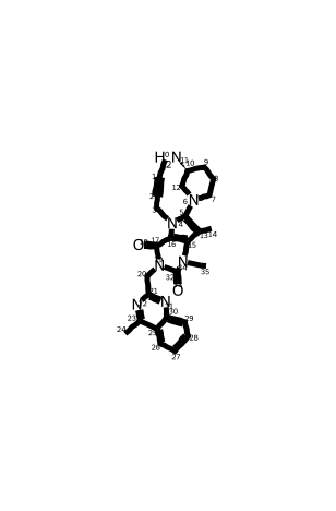 CC#CCn1c(N2CCC[C@@H](N)C2)c(C)c2c1c(=O)n(Cc1nc(C)c3ccccc3n1)c(=O)n2C